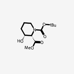 COC(=O)[C@@H]1[C@H](O)CCCN1C(=O)OC(C)(C)C